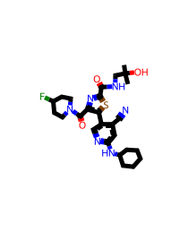 CC(C)(O)CNC(=O)c1nc(C(=O)N2CCC(F)CC2)c(-c2cnc(NC3CCCCC3)cc2C#N)s1